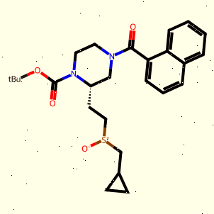 CC(C)(C)OC(=O)N1CCN(C(=O)c2cccc3ccccc23)C[C@@H]1CC[S+]([O-])CC1CC1